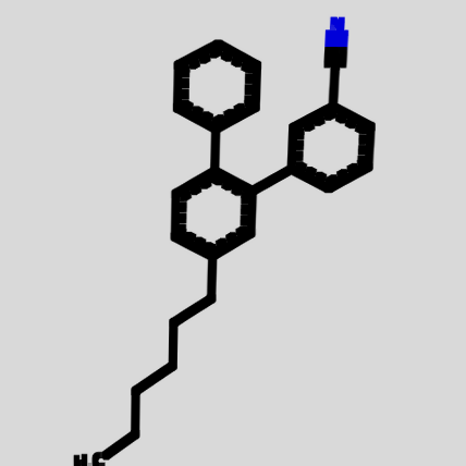 CCCCCCc1ccc(-c2ccccc2)c(-c2cccc(C#N)c2)c1